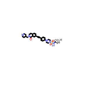 CC(C)[C@@H](NS(=O)(=O)N1CCN(c2ccc(C#Cc3ccc4ccn(Cc5ccncc5)c(=O)c4c3)cc2)CC1)C(=O)O